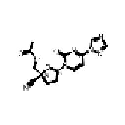 CC(=O)OC[C@]1(C#N)CC[C@H](n2ccc(-n3cncn3)nc2=O)O1